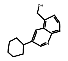 OCc1cccc2ncc(C3CCCCC3)cc12